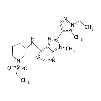 CCn1ncc(-c2nc3c(NC4CCCN(S(=O)(=O)CC)C4)ncnc3n2C)c1C